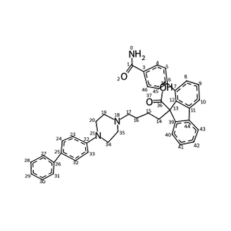 NC(=O)c1ccc(-c2cccc3c2C(CCCCN2CCN(c4ccc(-c5ccccc5)cc4)CC2)(C(=O)O)c2ccccc2-3)cc1